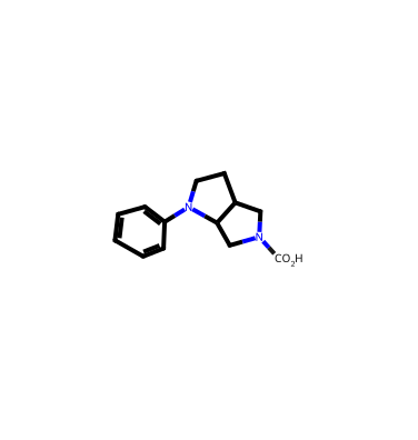 O=C(O)N1CC2CCN(c3ccccc3)C2C1